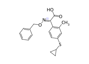 Cc1cc(SC2CC2)ccc1/C(=N\OCc1ccccc1)C(=O)O